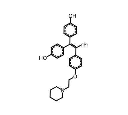 CCCC(=C(c1ccc(O)cc1)c1ccc(O)cc1)c1ccc(OCCN2CCCCC2)cc1